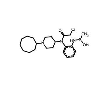 CB(O)Nc1ccccc1N(C(=O)CCl)C1CCN(C2CCCCCCC2)CC1